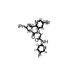 CC(C)C1CN2C(=O)N(CC(=O)Nc3ccc(F)cn3)c3cc(Br)cnc3C2=N1